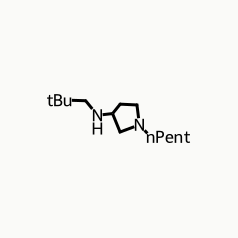 CCCCCN1CCC(NCC(C)(C)C)C1